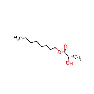 CCCCCCCCOC(=O)[C@H](C)O